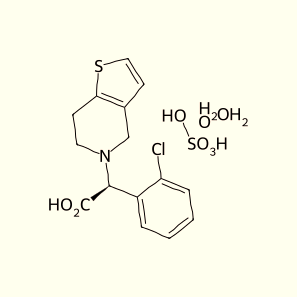 O.O.O=C(O)[C@H](c1ccccc1Cl)N1CCc2sccc2C1.O=S(=O)(O)O